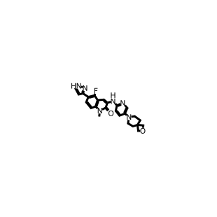 Cn1c(=O)c(Nc2ccc(N3CCC4(CC3)COC4)cn2)cc2c(F)c(-c3cc[nH]n3)ccc21